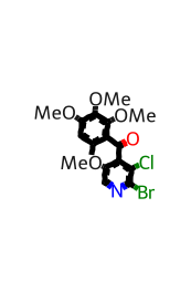 COc1cc(C)c(C(=O)c2c(OC)cnc(Br)c2Cl)c(OC)c1OC